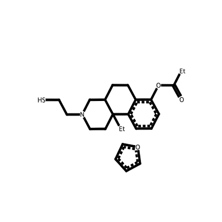 CCC(=O)Oc1cccc2c1CCC1CN(CCS)CCC21CC.c1ccoc1